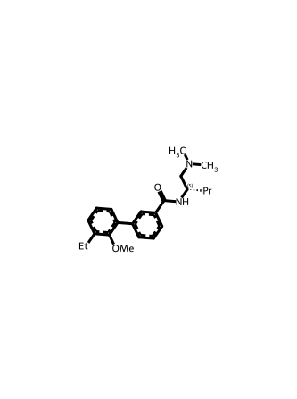 CCc1cccc(-c2cccc(C(=O)N[C@H](CN(C)C)C(C)C)c2)c1OC